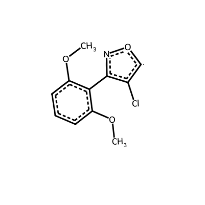 COc1cccc(OC)c1-c1no[c]c1Cl